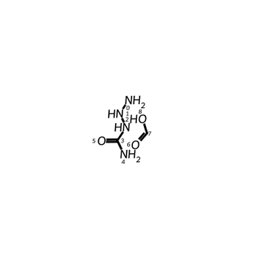 NNNC(N)=O.O=CO